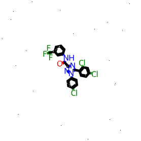 O=C(Nc1cccc(C(F)(F)F)c1)c1nc(-c2ccc(Cl)cc2Cl)n(-c2ccc(Cl)cc2)n1